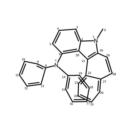 Cn1c2cccc(N(c3ccccc3)c3ccccc3)c2c2c3ccccc3ccc21